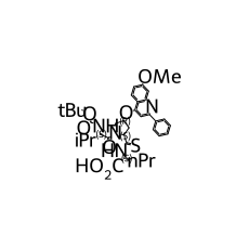 CCC[C@H](NC(=S)[C@@H]1C[C@@H](Oc2cc(-c3ccccc3)nc3cc(OC)ccc23)CN1C(=O)[C@@H](NC(=O)OC(C)(C)C)C(C)C)C(=O)O